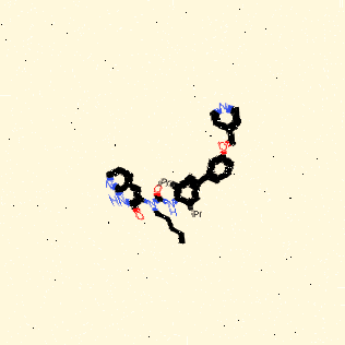 C=CCCCN(C(=O)Nc1c(C(C)C)cc(-c2cccc(OCc3ccncc3)c2)cc1C(C)C)c1cc2cccnc2[nH]c1=O